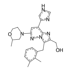 Cc1cccc(Cc2c(CO)nc3c(-c4c[nH]cn4)cc(N4CCOC(C)C4)nn23)c1C